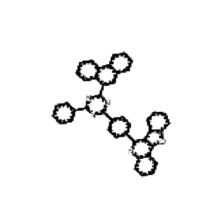 c1ccc(-c2nc(-c3ccc(-c4nc5ccccc5c5oc6ccccc6c45)cc3)nc(-c3cc4ccccc4c4ccccc34)n2)cc1